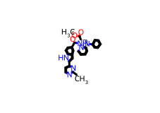 CCc1nccc(-c2cc3cc(C(=O)N[C@@H](CN(c4ccccc4)c4ccccn4)C(=O)OC)ccc3[nH]2)n1